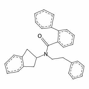 O=C(c1ccccc1-c1ccccc1)N(CCc1ccccc1)C1Cc2ccccc2C1